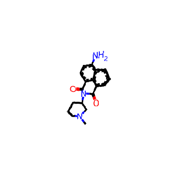 CN1CCCC(N2C(=O)c3cccc4c(N)ccc(c34)C2=O)C1